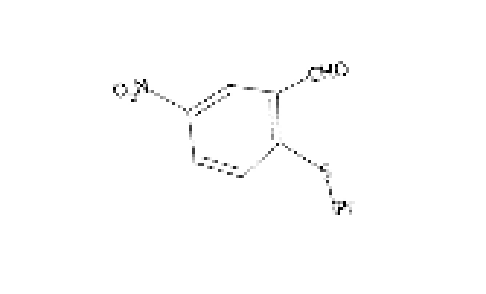 CC(C)Sc1ccc([N+](=O)[O-])cc1C=O